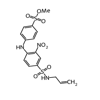 C=CCNS(=O)(=O)c1ccc(Nc2ccc(S(=O)(=O)OC)cc2)c([N+](=O)[O-])c1